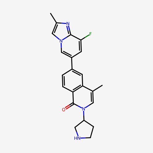 Cc1cn2cc(-c3ccc4c(=O)n(C5CCNC5)cc(C)c4c3)cc(F)c2n1